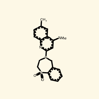 CNc1cc(N2CCS(=O)(=O)c3ccccc3C2)nc2ccc(C)cc12